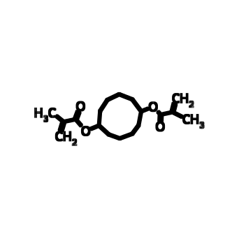 C=C(C)C(=O)OC1CCCCC(OC(=O)C(=C)C)CCCC1